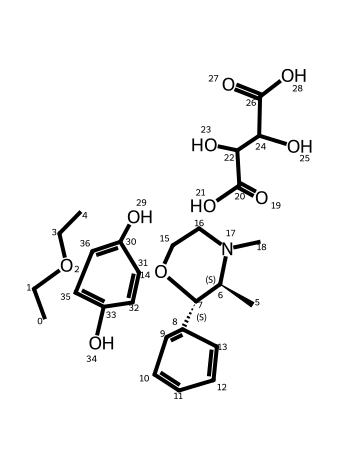 CCOCC.C[C@H]1[C@H](c2ccccc2)OCCN1C.O=C(O)C(O)C(O)C(=O)O.Oc1ccc(O)cc1